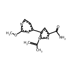 C=C(C)n1nc(C(N)=O)cc1-c1ccnc(OC)n1